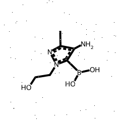 Cc1nn(CCO)c(B(O)O)c1N